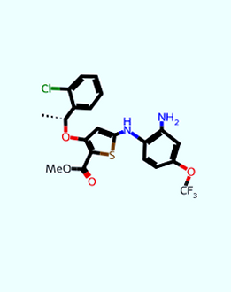 COC(=O)c1sc(Nc2ccc(OC(F)(F)F)cc2N)cc1O[C@H](C)c1ccccc1Cl